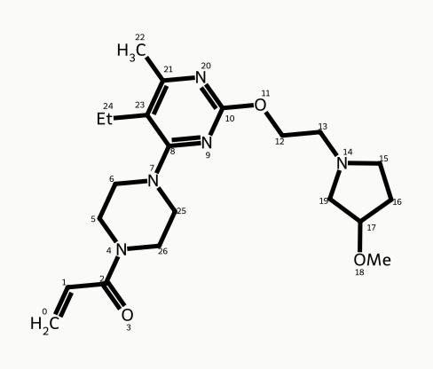 C=CC(=O)N1CCN(c2nc(OCCN3CCC(OC)C3)nc(C)c2CC)CC1